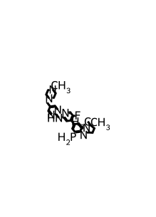 CN1CCN(Cc2cnc(Nc3cc(-c4cc(P)c5nc6n(c5c4)C(C)(C)CC6)c(F)cn3)nc2)CC1